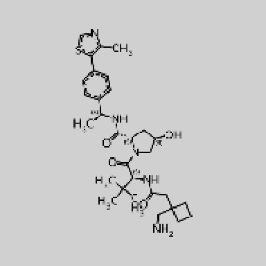 Cc1ncsc1-c1ccc([C@H](C)NC(=O)[C@@H]2C[C@@H](O)CN2C(=O)[C@@H](NC(=O)CC2(CN)CCC2)C(C)(C)C)cc1